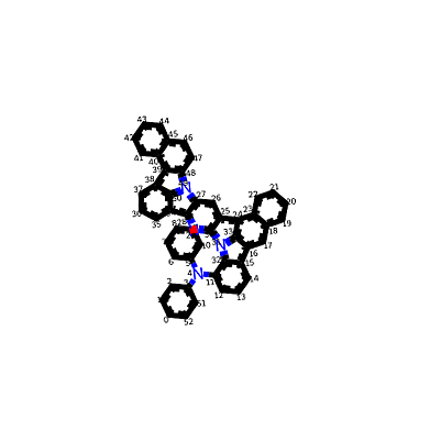 c1ccc(N(c2ccccc2)c2cccc3c4cc5ccccc5c5c6cc7c(nc6n(c23)c45)c2cccc3c4c5ccccc5ccc4n7c23)cc1